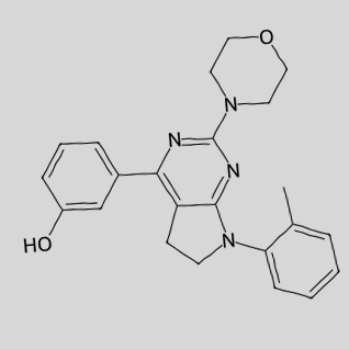 Cc1ccccc1N1CCc2c(-c3cccc(O)c3)nc(N3CCOCC3)nc21